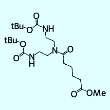 COC(=O)CCCCC(=O)N(CCNC(=O)OC(C)(C)C)CCNC(=O)OC(C)(C)C